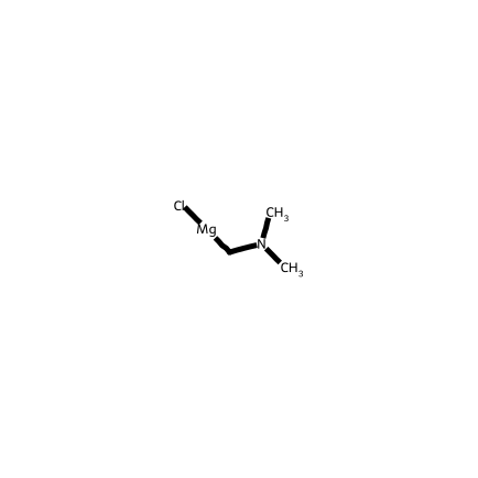 CN(C)[CH2][Mg][Cl]